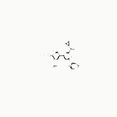 CC(c1nc(-c2cnc(N)c(OC(F)F)c2)cc(N2C[C@@H]3C[C@H]2CO3)n1)C1CC1